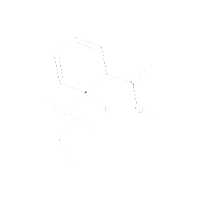 CCS(=O)(=O)C1(F)C=CC=CC1C(N)=O